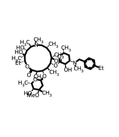 CCc1ccc(CN(C)[C@H]2C[C@@H](C)O[C@@H](O[C@@H]3[C@@H](C)[C@H](OC4C[C@@](C)(OC)[C@@H](O)[C@H](C)O4)[C@@H](C)C(=O)O[C@H](CC)[C@@](C)(O)[C@H](O)[C@@H](C)N(C)C[C@H](C)C[C@@]3(C)O)[C@@H]2O)cc1